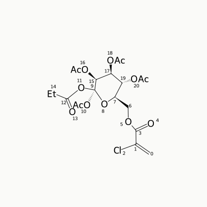 C=C(Cl)C(=O)OC[C@H]1O[C@@](OC(C)=O)(OC(=O)CC)[C@@H](OC(C)=O)[C@@H](OC(C)=O)[C@@H]1OC(C)=O